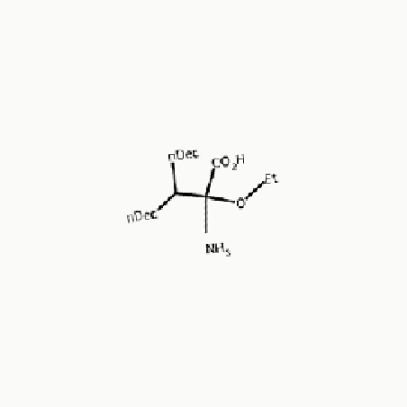 CCCCCCCCCCC(CCCCCCCCCC)C(C)(OCC)C(=O)O.N